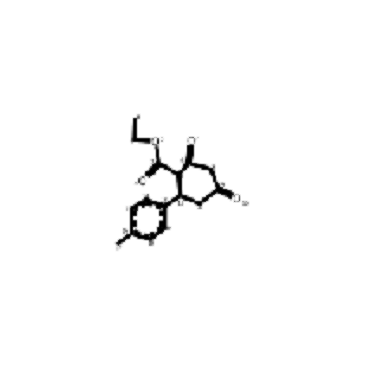 CCOC(=O)C1C(=O)CC(=O)CC1c1ccc(C)cc1